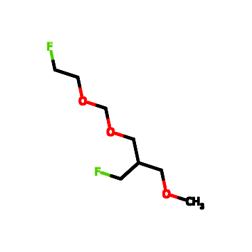 COCC(CF)COCOCCF